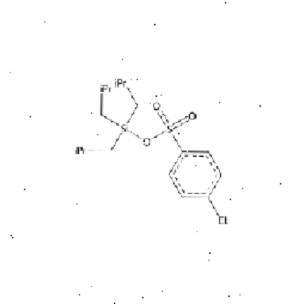 CCc1ccc(S(=O)(=O)O[Si](CC(C)C)(CC(C)C)CC(C)C)cc1